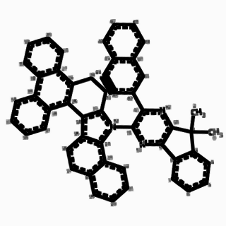 CC1(C)c2ccccc2-c2nc(-n3c4c(c5ccc6ccccc6c53)-c3c(c5ccccc5c5ccccc35)CC4)c(-c3c#cc4ccccc4c3)nc21